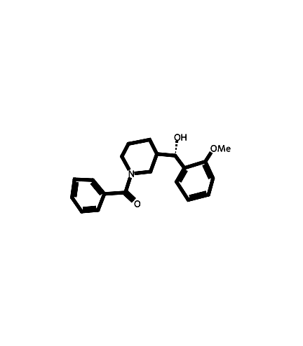 COc1ccccc1[C@@H](O)C1CCCN(C(=O)c2ccccc2)C1